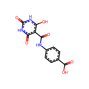 O=C(O)c1ccc(NC(=O)c2c(O)[nH]c(=O)[nH]c2=O)cc1